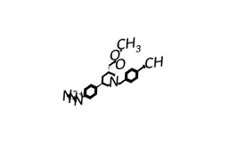 C#Cc1ccc(CN2C[C@@H](CC(=O)OCC)C[C@H](c3ccc(N=[N+]=[N-])cc3)C2)cc1